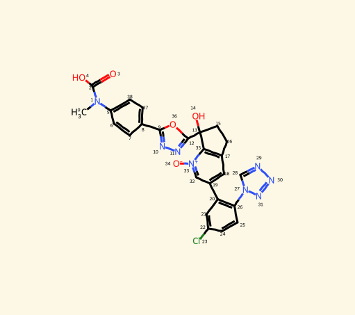 CN(C(=O)O)c1ccc(-c2nnc(C3(O)CCc4cc(-c5cc(Cl)ccc5-n5cnnn5)c[n+]([O-])c43)o2)cc1